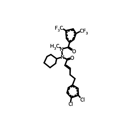 CN(C(=O)c1cc(C(F)(F)F)cc(C(F)(F)F)c1)N(C(=O)C=CCCc1ccc(Cl)c(Cl)c1)C1CCCCC1